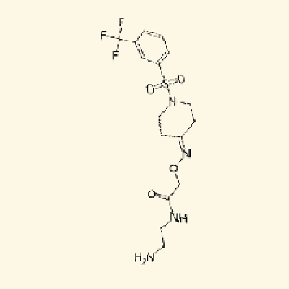 NCCNC(=O)CON=C1CCN(S(=O)(=O)c2cccc(C(F)(F)F)c2)CC1